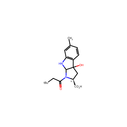 Cc1ccc2c(c1)NC1N(C(=O)CC(C)(C)C)[C@H](C(=O)O)CC21O